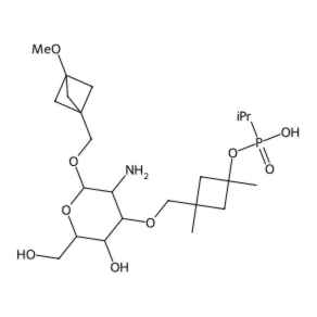 COC12CC(COC3OC(CO)C(O)C(OCC4(C)CC(C)(OP(=O)(O)C(C)C)C4)C3N)(C1)C2